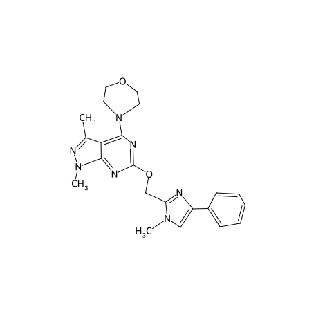 Cc1nn(C)c2nc(OCc3nc(-c4ccccc4)cn3C)nc(N3CCOCC3)c12